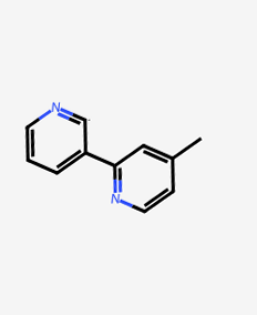 Cc1ccnc(-c2[c]nccc2)c1